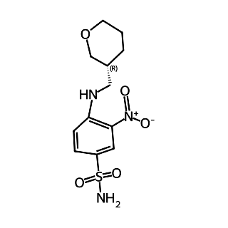 NS(=O)(=O)c1ccc(NC[C@H]2CCCOC2)c([N+](=O)[O-])c1